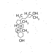 C[C@H](CCCC(C)(C)O)C1CC[C@H]2[C@@H]3CC=C4C[C@@H](O)CC[C@]4(C)[C@H]3CC[C@]12C